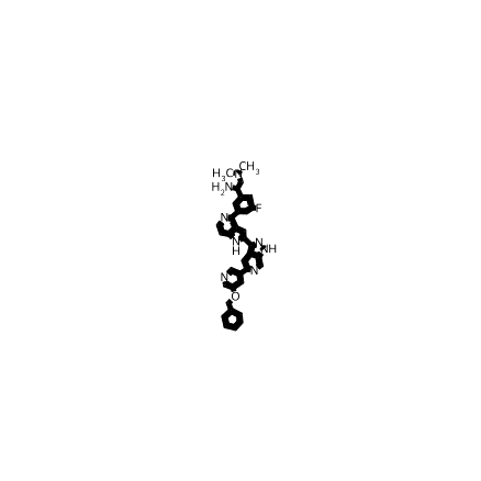 CN(C)CC(N)c1cc(F)cc(-c2nccc3[nH]c(-c4n[nH]c5cnc(-c6cncc(OCc7ccccc7)c6)cc45)cc23)c1